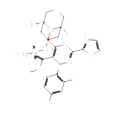 COC(=O)C1=C(CN2[C@@H]3COC[C@H]2C[C@H](NS(N)(=O)=O)C3)NC(c2nccs2)=N[C@H]1c1ccc(F)cc1Cl